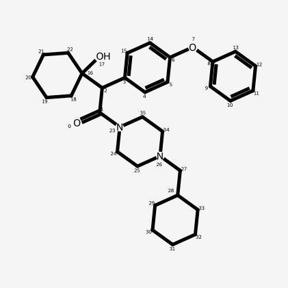 O=C(C(c1ccc(Oc2ccccc2)cc1)C1(O)CCCCC1)N1CCN(CC2CCCCC2)CC1